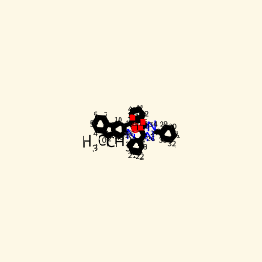 CC1(C)c2ccccc2-c2cc3c4ccccc4n(-c4ccccc4-c4nc(-c5ccccc5)nc5c4oc4ccccc45)c3cc21